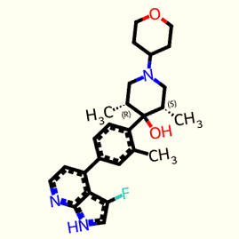 Cc1cc(-c2ccnc3[nH]cc(F)c23)ccc1C1(O)[C@H](C)CN(C2CCOCC2)C[C@@H]1C